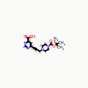 CC(C)(C)OC(=O)N1CCN(CC#Cc2cc(C(=O)O)ncn2)CC1